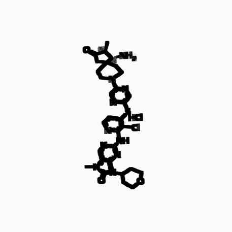 C[C@@H]1C(=O)CC2(CCN(c3cnc(Sc4ccnc(Nc5ncc6c(n5)n(C5CCOCC5)c(=O)n6C)c4Cl)cn3)CC2)[C@H]1N.Cl